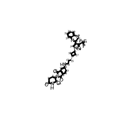 O=C1CCC(N2C(=O)c3ccc(NCCC[C@H]4C[C@H](n5cc(-c6cnc7ccccc7n6)c(C(F)(F)F)n5)C4)cc3C2=O)C(=O)N1